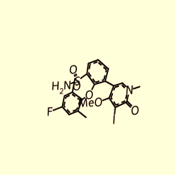 COc1c(-c2cccc(S(N)(=O)=O)c2Oc2c(C)cc(F)cc2C)cn(C)c(=O)c1I